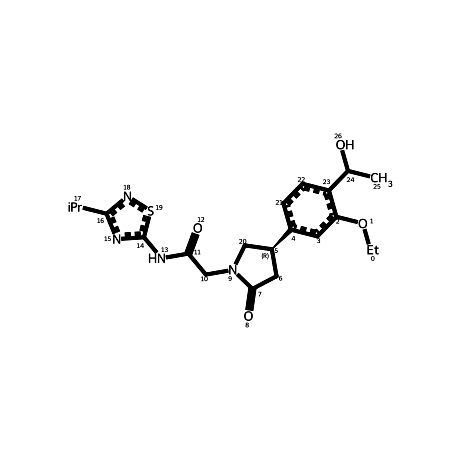 CCOc1cc([C@H]2CC(=O)N(CC(=O)Nc3nc(C(C)C)ns3)C2)ccc1C(C)O